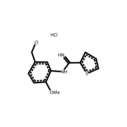 COc1ccc(CCl)cc1NC(=N)c1cccs1.Cl